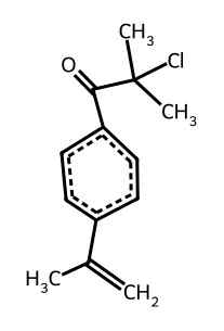 C=C(C)c1ccc(C(=O)C(C)(C)Cl)cc1